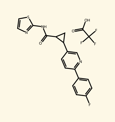 O=C(Nc1nccs1)C1CC1c1ccc(-c2ccc(F)cc2)nc1.O=C(O)C(F)(F)F